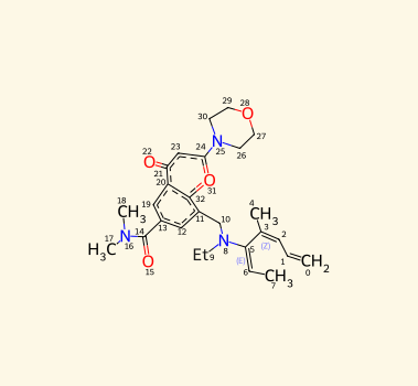 C=C/C=C(C)\C(=C/C)N(CC)Cc1cc(C(=O)N(C)C)cc2c(=O)cc(N3CCOCC3)oc12